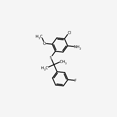 COc1cc(Cl)c(N)cc1SC(C)(C)c1cccc(F)c1